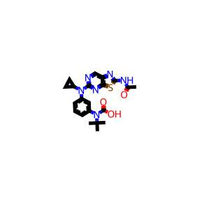 CC(=O)Nc1nc2cnc(N(c3cccc(N(C(=O)O)C(C)(C)C)c3)C3CC3)nc2s1